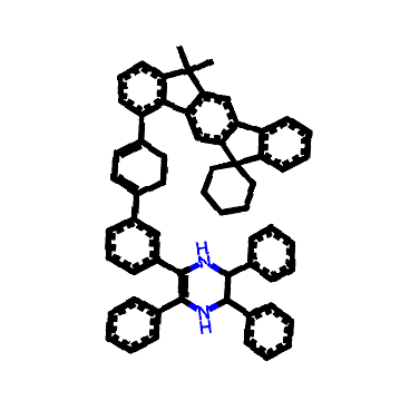 CC1(C)c2cc3c(cc2-c2c(C4=CC=C(c5cccc(C6=C(c7ccccc7)NC(c7ccccc7)C(c7ccccc7)N6)c5)CC4)cccc21)C1(CCCCC1)c1ccccc1-3